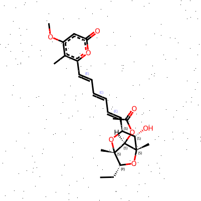 CC[C@H]1O[C@]2(C)[C@H](OC(C)=O)[C@@]1(C)O[C@@H](/C=C/C=C/C=C/c1oc(=O)cc(OC)c1C)[C@@H]2O